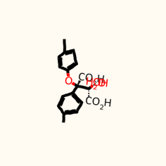 Cc1ccc(O[C@@](C(=O)O)(c2ccc(C)cc2)[C@H](O)C(=O)O)cc1.O